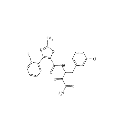 Cc1nc(-c2ccccc2F)c(C(=O)NC(Cc2cccc(Cl)c2)C(=O)C(N)=O)o1